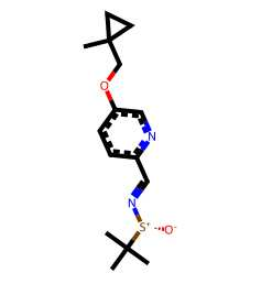 CC1(COc2ccc(/C=N/[S@+]([O-])C(C)(C)C)nc2)CC1